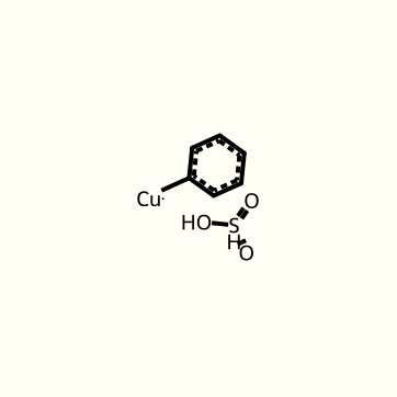 Cc1ccccc1.O=[SH](=O)O.[Cu]